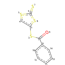 O=C(Sc1csc(=S)s1)c1ccccc1